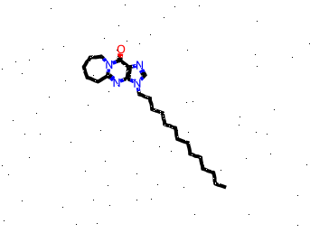 CCCCCCCCCCCCCCn1cnc2c(=O)n3c(nc21)CCCCC3